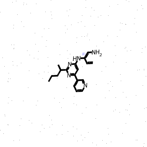 C=C/C(=C\N)Nc1cc(-c2cccnc2)nc(C(C)CCC)n1